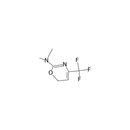 CN(C)C1=NC(C(F)(F)F)=CCO1